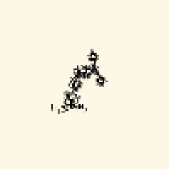 COc1ccc(C(=O)NCCN2CCN(C(=O)NC(C(=O)O)c3ccc(P(=O)(OCc4ccccc4)OCc4ccccc4)cc3)C(=O)C2=O)c(Cl)c1OC